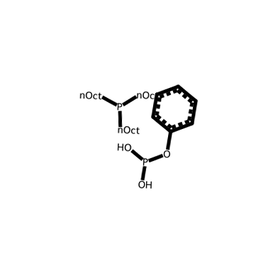 CCCCCCCCP(CCCCCCCC)CCCCCCCC.OP(O)Oc1ccccc1